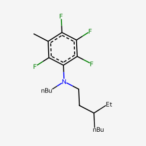 CCCCC(CC)CCN(CCCC)c1c(F)c(C)c(F)c(F)c1F